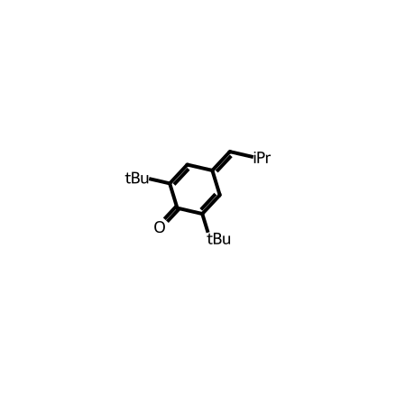 CC(C)C=C1C=C(C(C)(C)C)C(=O)C(C(C)(C)C)=C1